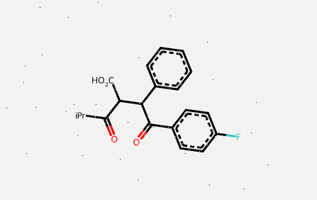 CC(C)C(=O)C(C(=O)O)C(C(=O)c1ccc(F)cc1)c1ccccc1